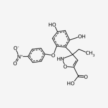 CCC1(c2c(O)cc(O)cc2Oc2ccc([N+](=O)[O-])cc2)C=C(C(=O)O)ON1